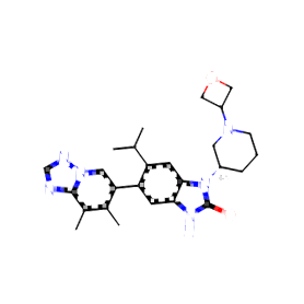 Cc1c(-c2cc3[nH]c(=O)n([C@@H]4CCCN(C5COC5)C4)c3cc2C(C)C)cn2ncnc2c1C